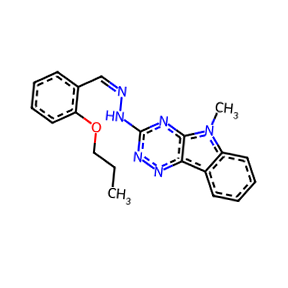 CCCOc1ccccc1/C=N\Nc1nnc2c3ccccc3n(C)c2n1